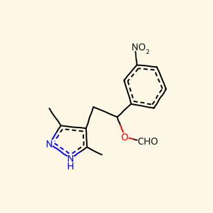 Cc1n[nH]c(C)c1CC(OC=O)c1cccc([N+](=O)[O-])c1